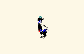 CC1CN(Cc2cc3c(c(C(F)(F)F)c2)CN(c2cccc(C4(c5nncn5C)CC(CC#N)C4)c2)C3=O)CCC1(F)F